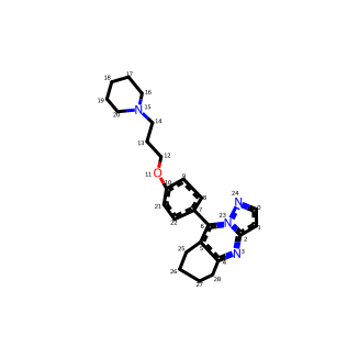 c1cc2nc3c(c(-c4ccc(OCCCN5CCCCC5)cc4)n2n1)CCCC3